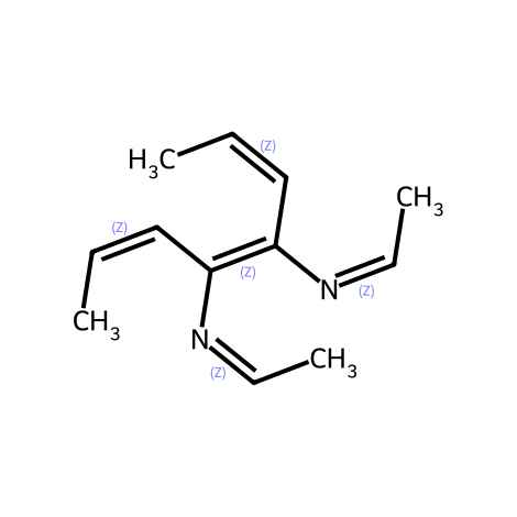 C\C=C/C(/N=C\C)=C(\C=C/C)/N=C\C